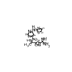 C[C@@H](NC(=O)c1cc(Nc2nccs2)ncn1)c1cc(C(=N)N)no1